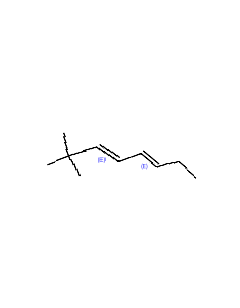 CC/C=C/C=C/C(C)(C)C